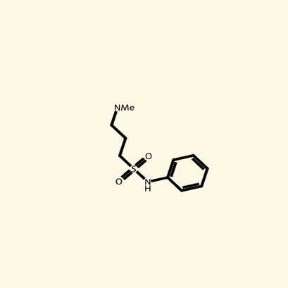 CNCCCS(=O)(=O)Nc1ccccc1